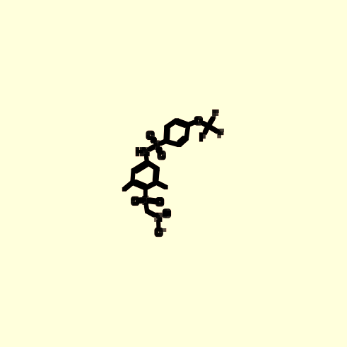 Cc1cc(NS(=O)(=O)c2ccc(OC(F)(F)F)cc2)cc(C)c1S(=O)(=O)C[N+](=O)[O-]